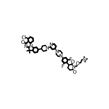 CC1(C)c2ccc(C3CCN(c4cc(N5CCN(c6cc(F)c(C7CCC(=O)N(COCC[Si](C)(C)C)C7=O)c(F)c6)CC5)ccn4)CC3)cc2-n2c1nc(=O)c1c(Cl)cccc12